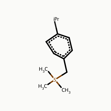 CC(C)c1ccc(CS(C)(C)C)cc1